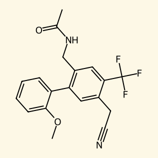 COc1ccccc1-c1cc(CC#N)c(C(F)(F)F)cc1CNC(C)=O